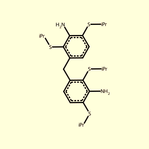 CC(C)Sc1ccc(Cc2ccc(SC(C)C)c(N)c2SC(C)C)c(SC(C)C)c1N